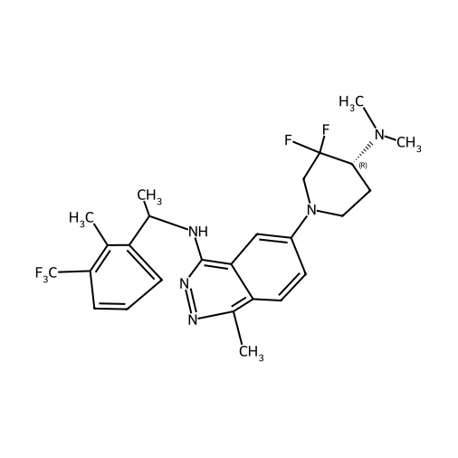 Cc1c(C(C)Nc2nnc(C)c3ccc(N4CC[C@@H](N(C)C)C(F)(F)C4)cc23)cccc1C(F)(F)F